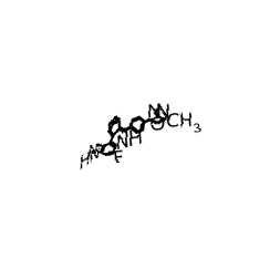 Cc1nnc(-c2ccc(C3Nc4c(F)cc5[nH]ncc5c4C4C5CCC(C5)C34)cc2)o1